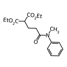 CCOC(=O)C(CCC(=O)N(C)c1ccccc1)C(=O)OCC